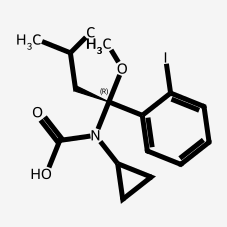 CO[C@](CC(C)C)(c1ccccc1I)N(C(=O)O)C1CC1